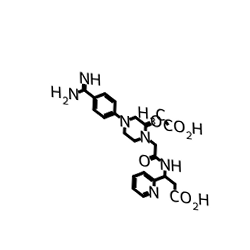 CC(=O)O.N=C(N)c1ccc(N2CCN(CC(=O)NC(CC(=O)O)c3ccccn3)C(=O)C2)cc1